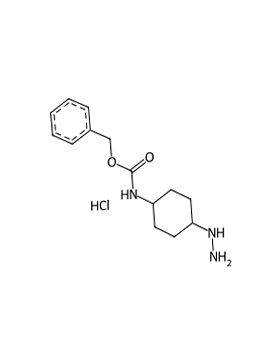 Cl.NNC1CCC(NC(=O)OCc2ccccc2)CC1